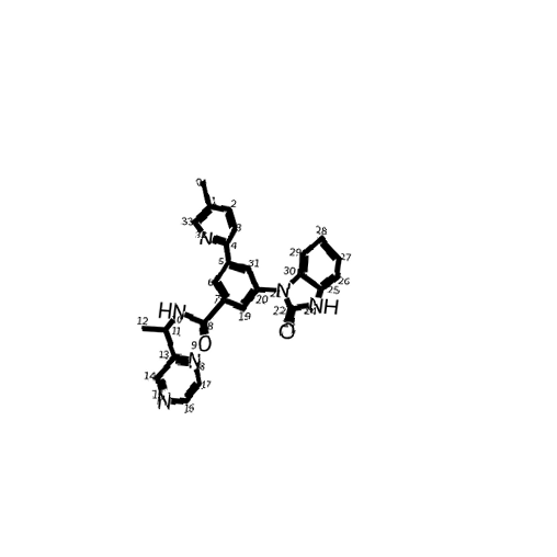 Cc1ccc(-c2cc(C(=O)NC(C)c3cnccn3)cc(-n3c(=O)[nH]c4ccccc43)c2)nc1